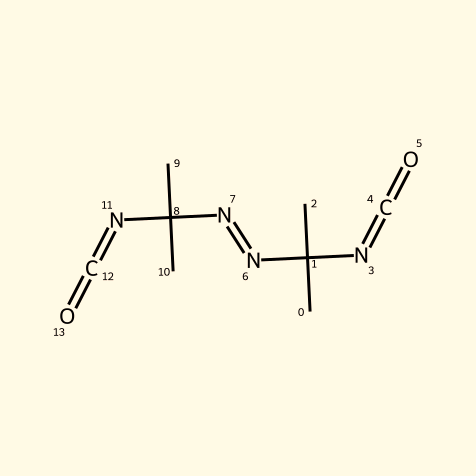 CC(C)(N=C=O)/N=N/C(C)(C)N=C=O